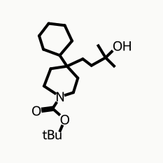 CC(C)(O)CCC1(C2CCCCC2)CCN(C(=O)OC(C)(C)C)CC1